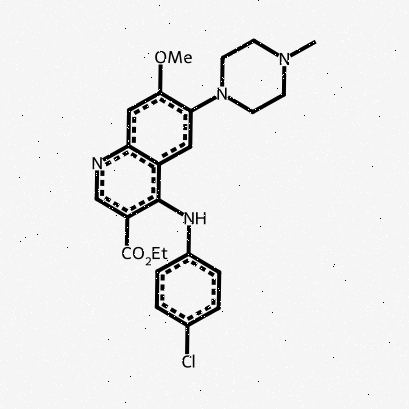 CCOC(=O)c1cnc2cc(OC)c(N3CCN(C)CC3)cc2c1Nc1ccc(Cl)cc1